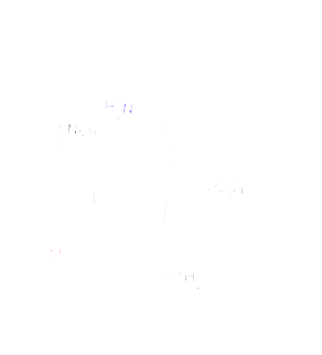 CCCCCCCCCCC1CCCCC1=O.NCCS(=O)(=O)O.[CaH2]